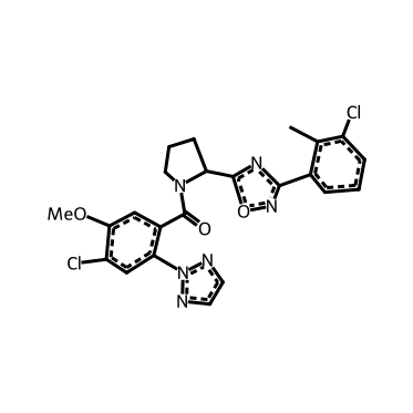 COc1cc(C(=O)N2CCCC2c2nc(-c3cccc(Cl)c3C)no2)c(-n2nccn2)cc1Cl